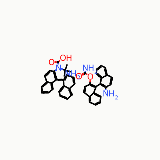 CC(C)(C)N(C(=O)O)c1ccc2ccccc2c1-c1c(N)ccc2ccccc12.NC(=O)Oc1ccc2ccccc2c1-c1c(N)ccc2ccccc12